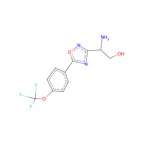 NC(CO)c1noc(-c2ccc(OC(F)(F)F)cc2)n1